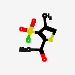 COC(=O)c1scc(C)c1S(=O)(=O)Cl